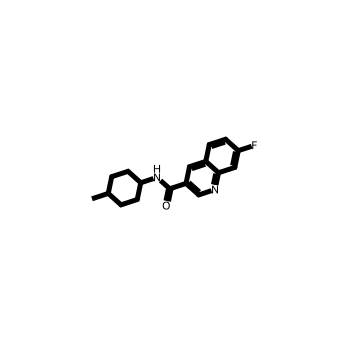 CC1CCC(NC(=O)c2cnc3cc(F)ccc3c2)CC1